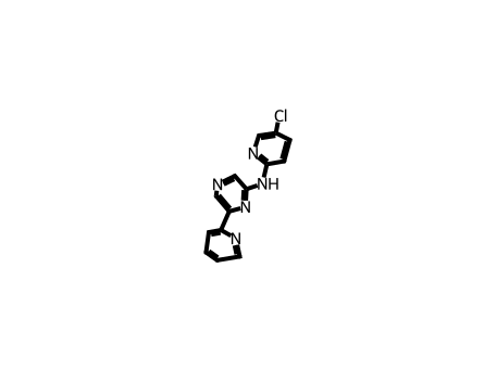 Clc1ccc(Nc2cncc(-c3ccccn3)n2)nc1